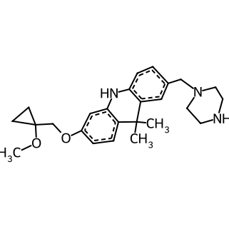 COC1(COc2ccc3c(c2)Nc2ccc(CN4CCNCC4)cc2C3(C)C)CC1